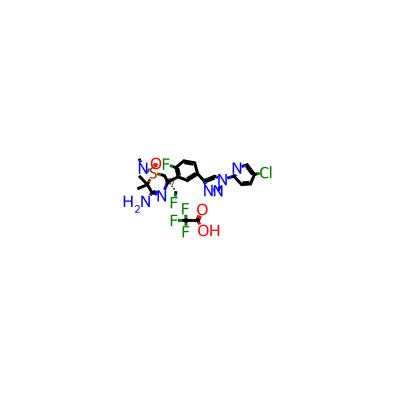 CN=S1(=O)C[C@@](CF)(c2cc(-c3cn(-c4ccc(Cl)cn4)nn3)ccc2F)N=C(N)C1(C)C.O=C(O)C(F)(F)F